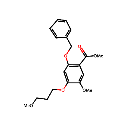 COCCCOc1cc(OCc2ccccc2)c(C(=O)OC)cc1OC